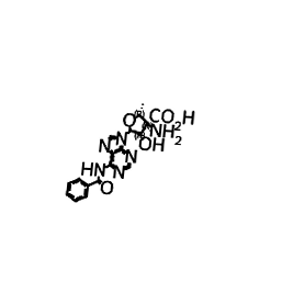 C[C@H]1OC(n2cnc3c(NC(=O)c4ccccc4)ncnc32)[C@H](O)[C@]1(N)C(=O)O